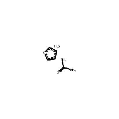 NC(N)=O.S.c1ccsc1